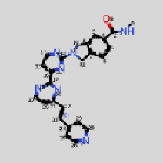 CNC(=O)c1ccc2c(c1)CN(c1nccc(-c3nccc(/C=C/c4ccncc4)n3)n1)C2